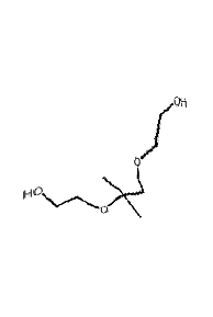 CC(C)(COCCO)OCCO